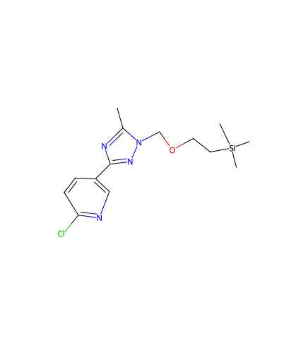 Cc1nc(-c2ccc(Cl)nc2)nn1COCC[Si](C)(C)C